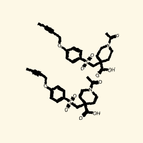 CC#CCOc1ccc(S(=O)(=O)CC2(C(=O)O)CCN(C(C)=O)CC2)cc1.CC#CCOc1ccc(S(=O)(=O)CC2(C(=O)O)CCN(C(C)=O)CC2)cc1